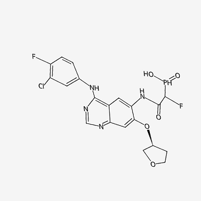 O=C(Nc1cc2c(Nc3ccc(F)c(Cl)c3)ncnc2cc1O[C@H]1CCOC1)C(F)[PH](=O)O